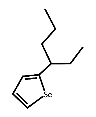 CCCC(CC)c1ccc[se]1